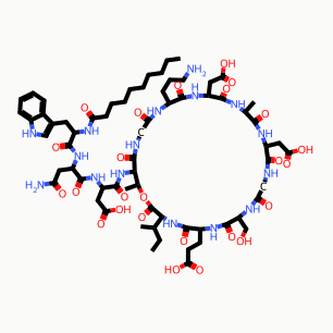 CCCCCCCCCC(=O)NC(Cc1c[nH]c2ccccc12)C(=O)NC(CC(N)=O)C(=O)NC(CC(=O)O)C(=O)NC1C(=O)NCC(=O)NC(CCCN)C(=O)NC(CC(=O)O)C(=O)NC(C)C(=O)NC(CC(=O)O)C(=O)NCC(=O)NC(CO)C(=O)NC(CCC(=O)O)C(=O)NC(C(C)CC)C(=O)OC1C